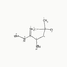 CCC(C)(C)CC(C(=O)NC(C)(C)C)C(C)(C)C